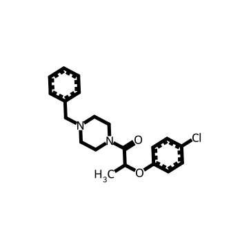 CC(Oc1ccc(Cl)cc1)C(=O)N1CCN(Cc2ccccc2)CC1